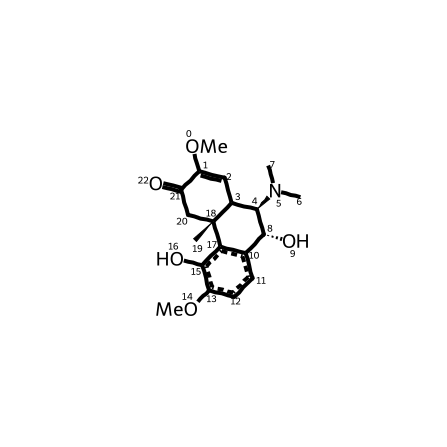 COC1=CC2[C@@H](N(C)C)[C@H](O)c3ccc(OC)c(O)c3[C@]2(C)CC1=O